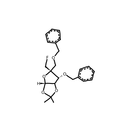 CC1(C)OC2[C@H](O1)O[C@](CF)(COCc1ccccc1)[C@@H]2OCc1ccccc1